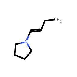 [CH2]C/C=C/N1CCCC1